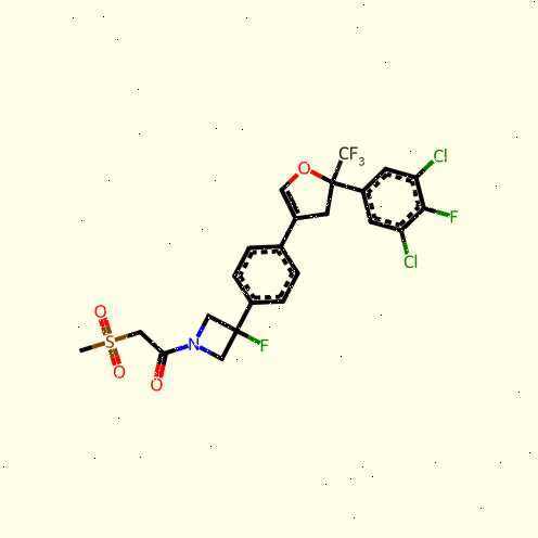 CS(=O)(=O)CC(=O)N1CC(F)(c2ccc(C3=COC(c4cc(Cl)c(F)c(Cl)c4)(C(F)(F)F)C3)cc2)C1